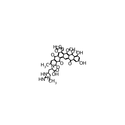 COc1c(OC)c2c(=O)c3cc(C)n(C(CC4CN(C)C(=N)N4)C(=O)O)c(=O)c3c(=O)c2c2cc3c(=O)c4cc(O)cc(O)c4c(=O)c3c(OC)c12